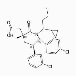 CCCC(C1CC1)N1C(=O)[C@@](C)(CC(=O)O)C[C@H](c2cccc(Cl)c2)[C@H]1c1ccc(Cl)cc1